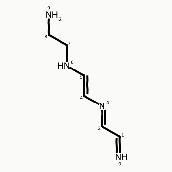 N=CC=NC=CNCCN